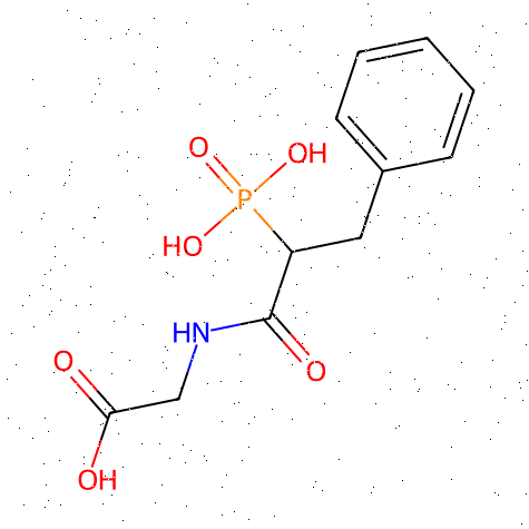 O=C(O)CNC(=O)C(Cc1ccccc1)P(=O)(O)O